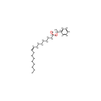 CCCCCCCC/C=C\CCCCCCCC(=O)OC(C)c1ccccc1